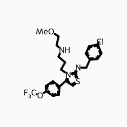 COCCNCCCn1c(-c2ccc(OC(F)(F)F)cc2)cs/c1=N\Cc1ccc(Cl)cc1